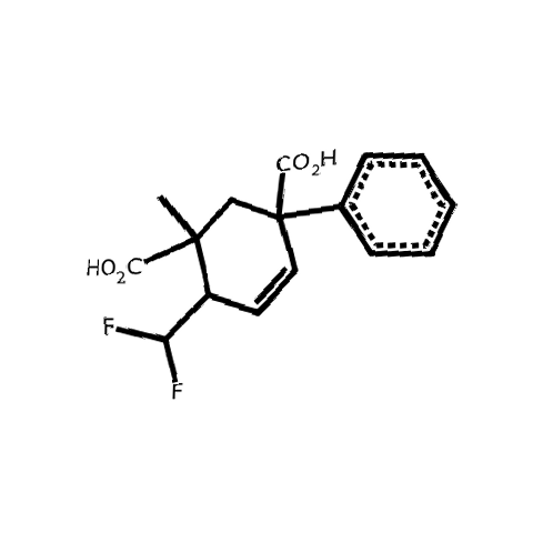 CC1(C(=O)O)CC(C(=O)O)(c2ccccc2)C=CC1C(F)F